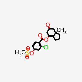 CC12CCCC1=C(OC(=O)c1ccc(OS(C)(=O)=O)cc1Cl)CC(=O)C2